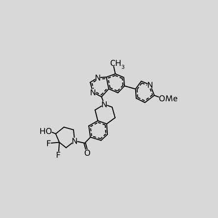 COc1ccc(-c2cc(C)c3ncnc(N4CCc5ccc(C(=O)N6CCC(O)C(F)(F)C6)cc5C4)c3c2)cn1